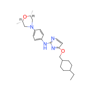 CCC1CCC(COc2ccnc(Nc3ccc(N4C[C@@H](C)O[C@@H](C)C4)cc3)n2)CC1